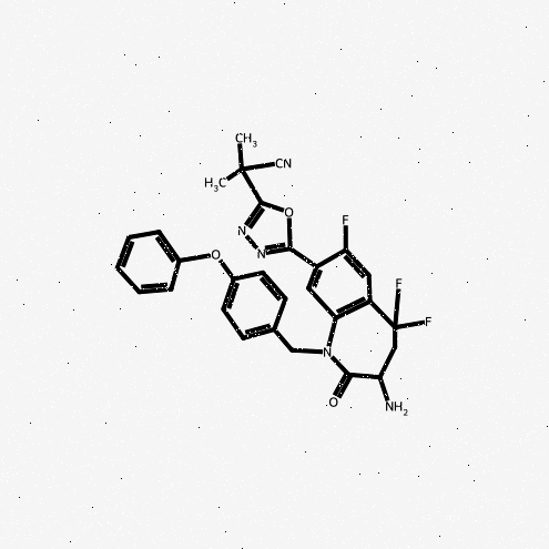 CC(C)(C#N)c1nnc(-c2cc3c(cc2F)C(F)(F)CC(N)C(=O)N3Cc2ccc(Oc3ccccc3)cc2)o1